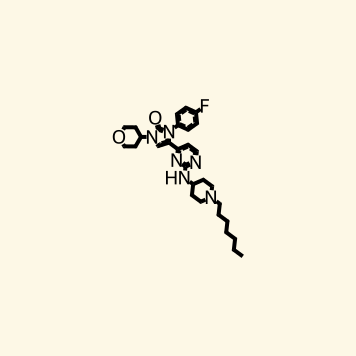 CCCCCCCN1CCC(Nc2nccc(-c3cn(C4CCOCC4)c(=O)n3-c3ccc(F)cc3)n2)CC1